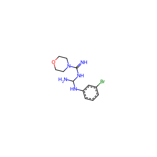 N=C(NC(N)Nc1cccc(Br)c1)N1CCOCC1